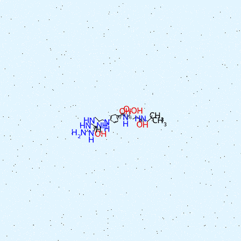 CC(C)CN[C@@H](O)CC[C@H](N[C@@H](O)[C@H]1C=CC(NCC2CNC3NC(N)NC(O)[C@@H]3N2)=CC1)C(=O)O